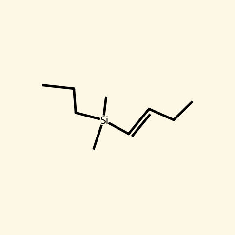 CCC=C[Si](C)(C)CCC